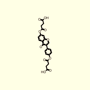 O=C(O)CCC(=O)Oc1ccc(-c2coc3cc(OC(=O)CCC(=O)O)ccc3c2=O)cc1